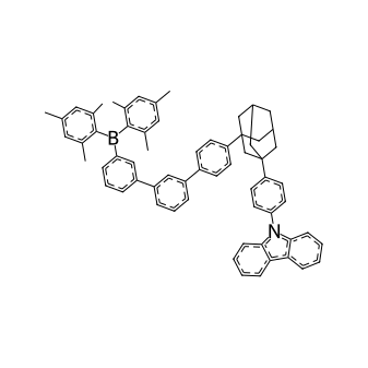 Cc1cc(C)c(B(c2cccc(-c3cccc(-c4ccc(C56CC7CC(C5)CC(c5ccc(-n8c9ccccc9c9ccccc98)cc5)(C7)C6)cc4)c3)c2)c2c(C)cc(C)cc2C)c(C)c1